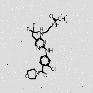 CC(=O)NCCNc1nc(Nc2ccc(C(=O)N3CCOCC3)c(Cl)c2)ncc1CC(F)(F)F